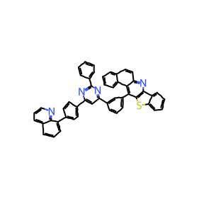 c1ccc(-c2nc(-c3ccc(-c4cccc5cccnc45)cc3)cc(-c3cccc(-c4c5sc6ccccc6c5nc5ccc6ccccc6c45)c3)n2)cc1